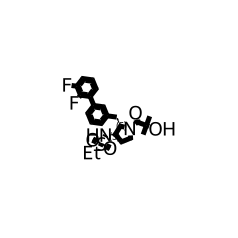 CCS(=O)(=O)N[C@H]1CCN(C(=O)C(C)(C)O)[C@H]1Cc1cccc(-c2cccc(F)c2F)c1